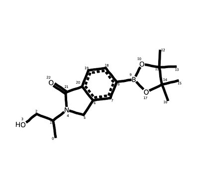 CC(CO)N1Cc2cc(B3OC(C)(C)C(C)(C)O3)ccc2C1=O